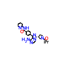 CC(C)C(=O)N1CC[C@@H](c2nc(-c3ccc(C(=O)Nc4ccccn4)cc3)c3c(N)nccn23)C1